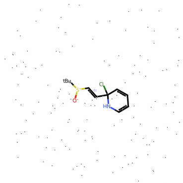 CC(C)(C)[S+]([O-])/C=C/C1(Cl)C=CC=CN1